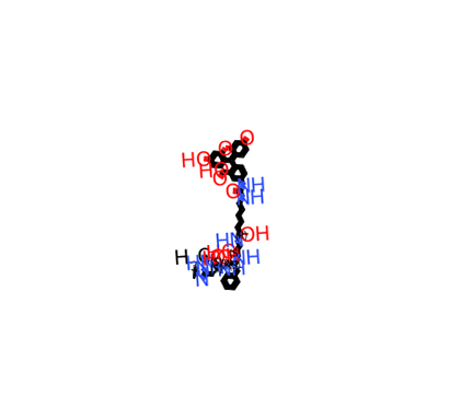 CN[C@@H](O)[C@H](Cc1ncc[nH]1)N[C@H](O)[C@H](Cc1ccccc1)N[C@@H](O)CN[C@H](O)CCCCCNC(=O)Nc1ccc(-c2c3ccc(=O)cc-3oc3cc(O)ccc23)c(C(=O)O)c1